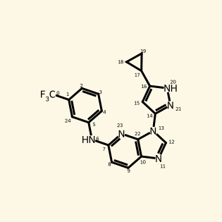 FC(F)(F)c1cccc(Nc2ccc3ncn(-c4cc(C5CC5)[nH]n4)c3n2)c1